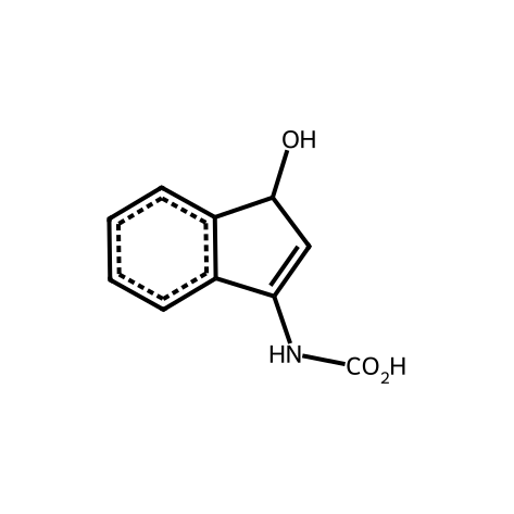 O=C(O)NC1=CC(O)c2ccccc21